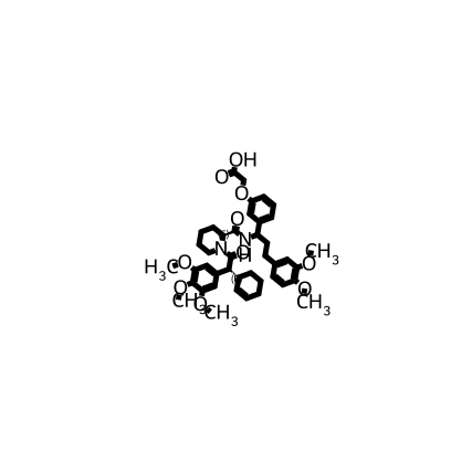 COc1ccc(CCC(NC(=O)[C@@H]2CCCCN2C(=O)C(c2cc(OC)c(OC)c(OC)c2)[C@H]2C=CCCC2)c2cccc(OCC(=O)O)c2)cc1OC